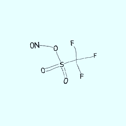 O=NOS(=O)(=O)C(F)(F)F